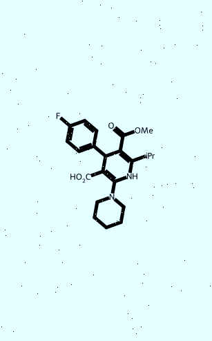 COC(=O)C1=C(C(C)C)NC(N2CCCCC2)=C(C(=O)O)C1c1ccc(F)cc1